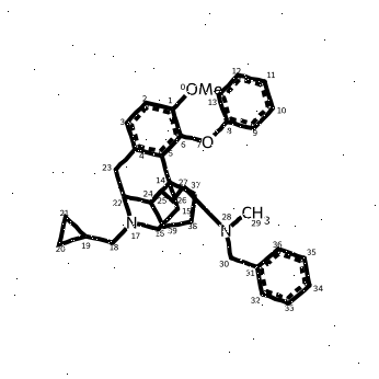 COc1ccc2c(c1Oc1ccccc1)C13CCN(CC4CC4)C(C2)C12CCC(N(C)Cc1ccccc1)C3CC2